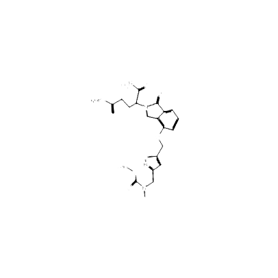 COC(=O)CCC(C(N)=O)N1Cc2c(OCc3cc(CN(C)C(=O)OC(C)(C)C)no3)cccc2C1=O